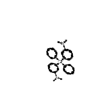 CN(C)c1ccc[c]([Ge]([c]2ccccc2)([c]2ccccc2)[c]2cccc(N(C)C)c2)c1